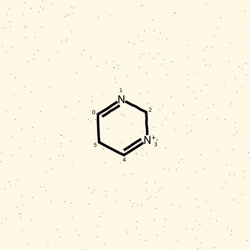 C1=NC[N+]=CC1